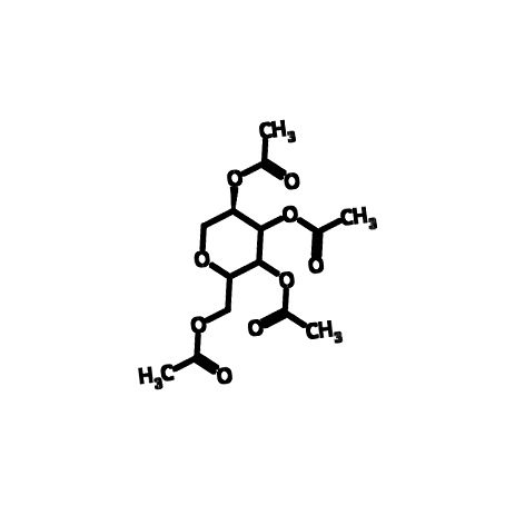 CC(=O)OCC1OC[C@@H](OC(C)=O)C(OC(C)=O)C1OC(C)=O